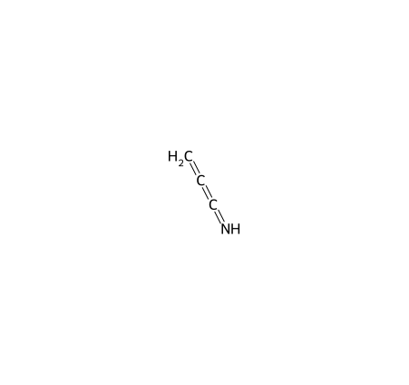 C=C=C=N